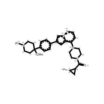 COC1(c2ccc(-c3cc4c(N5CCN(C(=O)C6C[C@@H]6F)CC5)ccnn4c3)cc2)CCN(C(C)C)CC1